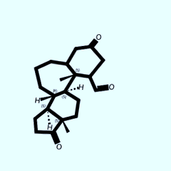 C[C@]12C(C=O)CC(=O)CC1CCC[C@@H]1[C@@H]2CC[C@]2(C)C(=O)CC[C@@H]12